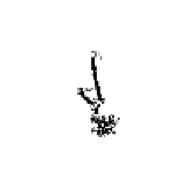 CC#CC#CC#CC#CC#CC#CC(=O)OC[C@H](COP(=O)(O)OC1C(O)[C@H](OP(=O)(O)O)[C@H](OP(=O)(O)O)C(OP(=O)(O)O)[C@@H]1O)OC(=O)CCCCCCCCCCCCCCC